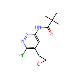 CC(C)(C)C(=O)Nc1cc(C2CO2)c(Cl)nn1